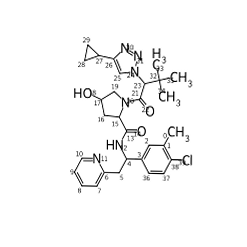 Cc1cc(C(Cc2ccccn2)NC(=O)C2CC(O)CN2C(=O)C(n2cc(C3CC3)nn2)C(C)(C)C)ccc1Cl